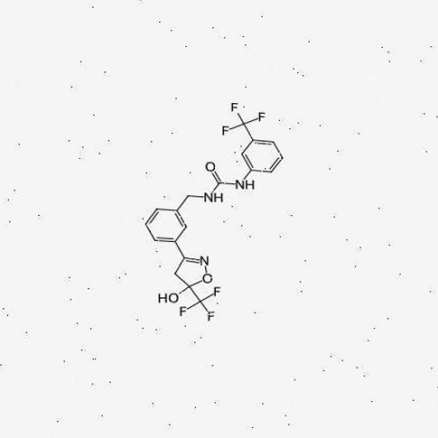 O=C(NCc1cccc(C2=NOC(O)(C(F)(F)F)C2)c1)Nc1cccc(C(F)(F)F)c1